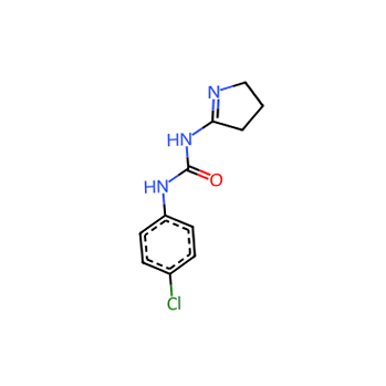 O=C(NC1=NCCC1)Nc1ccc(Cl)cc1